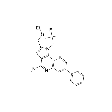 CCOCc1nc2c(N)nc3cc(-c4ccccc4)cnc3c2n1CC(C)(C)F